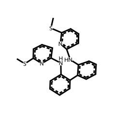 CSc1cccc(Nc2ccccc2-c2ccccc2Nc2cccc(SC)n2)n1